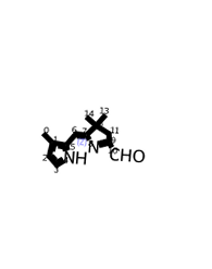 Cc1cc[nH]c1/C=C1\N=C(C=O)CC1(C)C